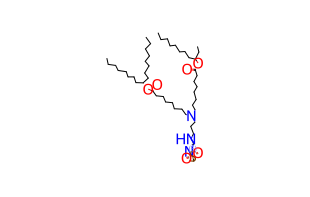 CCCCCCCCC(CC)OC(=O)CCCCCCCN(CCCCCCCC(=O)OC(CCCCCCCC)CCCCCCCC)CCCN/C=N/S(C)(=O)=O